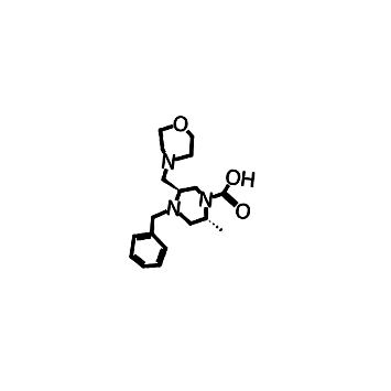 C[C@@H]1CN(Cc2ccccc2)[C@@H](CN2CCOCC2)CN1C(=O)O